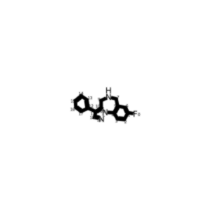 Fc1ccc2c(c1)CNCc1c(-c3ccccc3)cnn1-2